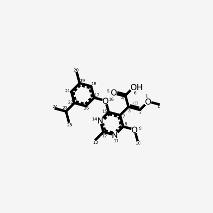 CO/C=C(\C(=O)O)c1c(OC)nc(C)nc1Oc1cc(C)cc(C(C)C)c1